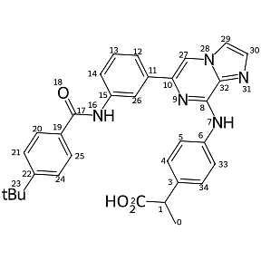 CC(C(=O)O)c1ccc(Nc2nc(-c3cccc(NC(=O)c4ccc(C(C)(C)C)cc4)c3)cn3ccnc23)cc1